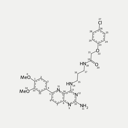 COc1ccc(-c2ccc3nc(N)nc(NCCCNC(=O)COc4ccc(Cl)cc4)c3n2)cc1OC